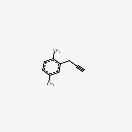 [C]#CCc1cc(C)ccc1C